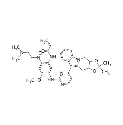 C=CC(=O)Nc1cc(Nc2nccc(-c3c4n(c5ccccc35)CC3OC(C)(C)OC3C4)n2)c(OC)cc1N(C)CCN(C)C